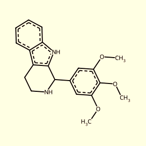 COc1cc(C2NCCc3c2[nH]c2ccccc32)cc(OC)c1OC